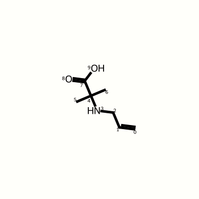 C=CCNC(C)(C)C(=O)O